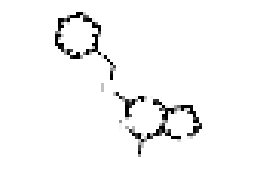 CCOC(=O)c1nc(NCc2ccccc2)nc2ccsc12